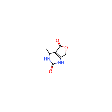 CC1NC(=O)NC2=C1C(=O)OC2